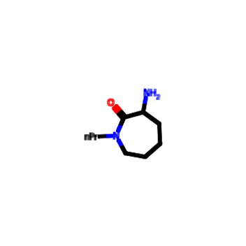 CCCN1CCCCC(N)C1=O